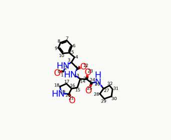 O=CNC(Cc1ccccc1)C(=O)NC(CC1CCNC1=O)C(=O)C(=O)NC1CCCCC1